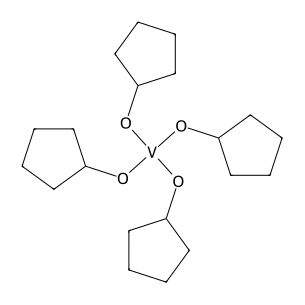 C1CCC([O][V]([O]C2CCCC2)([O]C2CCCC2)[O]C2CCCC2)C1